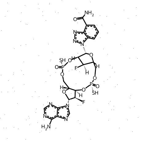 NC(=O)c1cccc2c1nnn2[C@@H]1O[C@@H]2CO[P@](=O)(S)O[C@H]3[C@@H](F)[C@H](n4cnc5c(N)ncnc54)O[C@@H]3CO[P@](=O)(S)O[C@@H]1[C@@H]2F